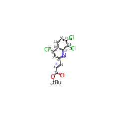 CC(C)(C)OC(=O)/C=C/c1cc(Cl)c2ccc(Cl)c(Cl)c2n1